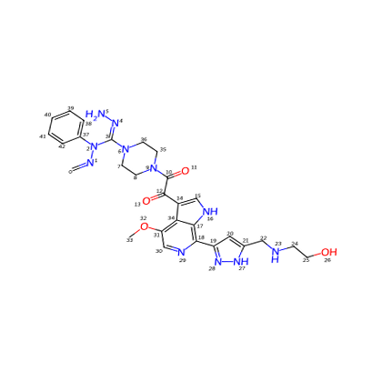 C=NN(/C(=N\N)N1CCN(C(=O)C(=O)c2c[nH]c3c(-c4cc(CNCCO)[nH]n4)ncc(OC)c23)CC1)c1ccccc1